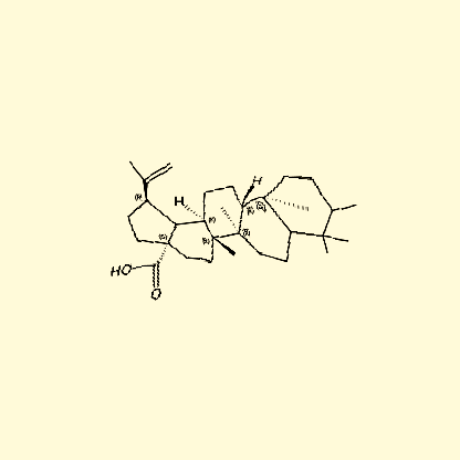 C=C(C)[C@@H]1CC[C@]2(C(=O)O)CC[C@]3(C)[C@H](CC[C@@H]4[C@@]5(C)CCC(C)C(C)(C)C5CC[C@]43C)C12